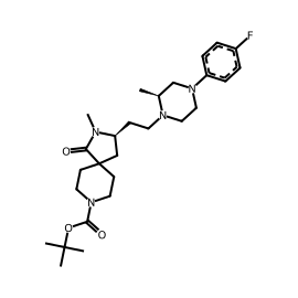 C[C@H]1CN(c2ccc(F)cc2)CCN1CC[C@H]1CC2(CCN(C(=O)OC(C)(C)C)CC2)C(=O)N1C